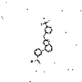 O=C(O)c1cccc(-c2cccc3oc(Cc4cccc(C(F)(F)F)c4)cc23)c1